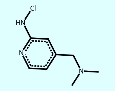 CN(C)Cc1ccnc(NCl)c1